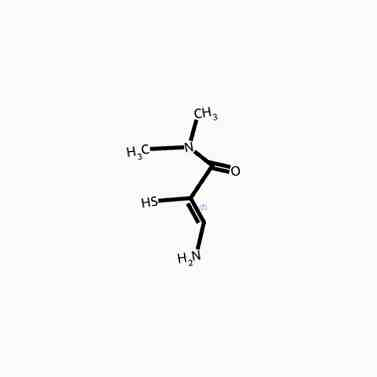 CN(C)C(=O)/C(S)=C/N